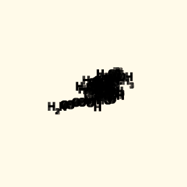 CC[C@H](C)[C@@H]([C@@H](CC(=O)N1CCC[C@H]1[C@H](OC)[C@@H](C)C(=O)N[C@H](C)[C@@H](O)c1ccccc1)OC)N(C)C(=O)[C@@H](NC(=O)[C@H](C(C)C)N(C)C(=O)OCc1cc(NC(=O)CCC(=O)NCCOCCOCCOCCON)ccc1OC1OC(C(=O)O)C(O)C(O)C1O)C(C)C